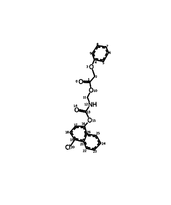 O=C(COc1ccccc1)OCNC(=O)Oc1ccc(Cl)c2ccccc12